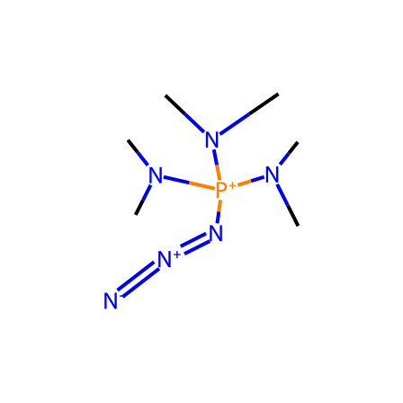 CN(C)[P+](N=[N+]=[N-])(N(C)C)N(C)C